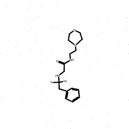 [2H]C([2H])(Cc1ccccc1)NCC(=O)NCCN1CCOCC1